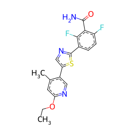 CCOc1cc(C)c(-c2cnc(-c3ccc(F)c(C(N)=O)c3F)s2)cn1